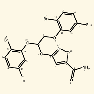 NC(=O)c1cc(OC(COc2cc(F)ccc2Br)Oc2cc(F)ccc2Br)no1